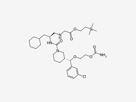 C[Si](C)(C)CCOC(=O)CNC[C@H](CC1CCCCC1)NC(=O)N1CCC[C@@H](C(OCCOC(N)=O)c2cccc(Cl)c2)C1